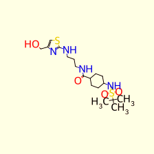 CC(C)(C)S(=O)(=O)NC1CCC(C(=O)NCCCNc2nc(CO)cs2)CC1